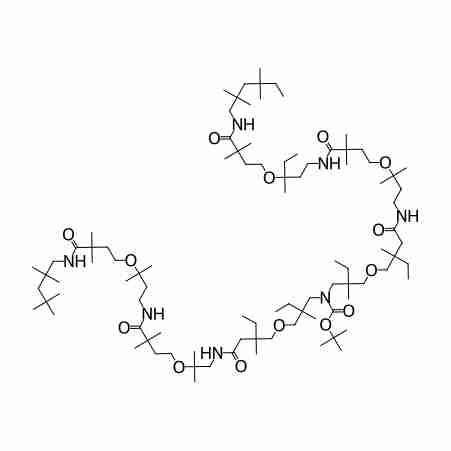 CCC(C)(C)CC(C)(C)CNC(=O)C(C)(C)CCOC(C)(CC)CCNC(=O)C(C)(C)CCOC(C)(C)CCNC(=O)CC(C)(CC)COCC(C)(CC)CN(CC(C)(CC)COCC(C)(CC)CC(=O)NCC(C)(C)OCCC(C)(C)C(=O)NCCC(C)(C)OCCC(C)(C)C(=O)NCC(C)(C)CC(C)(C)C)C(=O)OC(C)(C)C